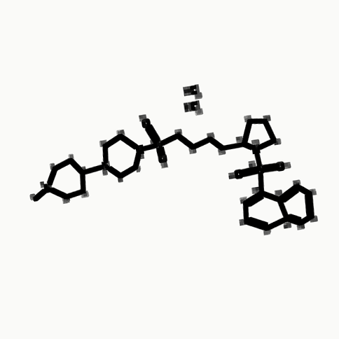 CN1CCC(N2CCN(S(=O)(=O)CCCCC3CCCN3S(=O)(=O)c3cccc4ccccc34)CC2)CC1.Cl.Cl